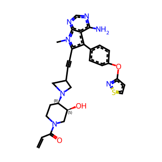 C=CC(=O)N1CC[C@@H](N2CC(C#Cc3c(-c4ccc(Oc5ccsn5)cc4)c4c(N)ncnc4n3C)C2)[C@@H](O)C1